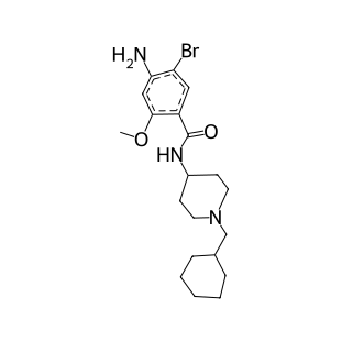 COc1cc(N)c(Br)cc1C(=O)NC1CCN(CC2CCCCC2)CC1